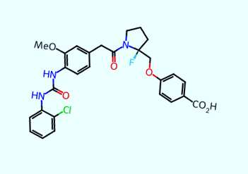 COc1cc(CC(=O)N2CCC[C@]2(F)COc2ccc(C(=O)O)cc2)ccc1NC(=O)Nc1ccccc1Cl